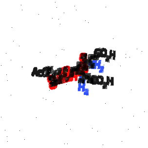 CC(=O)OC[C@H](COP(=O)(O)OCC(COC(=O)[C@@H](N)CCC(=O)O)OC(=O)[C@@H](N)CCC(=O)O)OC(=O)Br